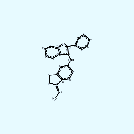 ON=C1CCc2cc(Nc3c(-c4ccccc4)sc4cnccc34)ccc21